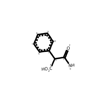 [NH]C(=O)C(C(=O)O)c1ccccc1